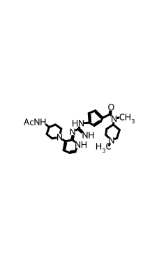 CC(=O)NC1CCN(c2ccc[nH]/c2=N\C(=N)Nc2ccc(C(=O)N(C)C3CCN(C)CC3)cc2)CC1